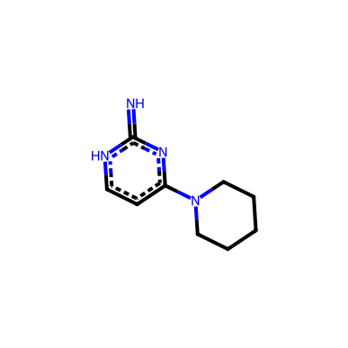 N=c1nc(N2CCCCC2)cc[nH]1